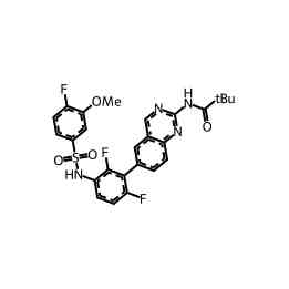 COc1cc(S(=O)(=O)Nc2ccc(F)c(-c3ccc4nc(NC(=O)C(C)(C)C)ncc4c3)c2F)ccc1F